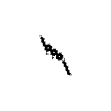 CCCCCCCCOc1ccc(-c2ccc(-c3ccc(CCCCC)cc3F)cc2F)cc1